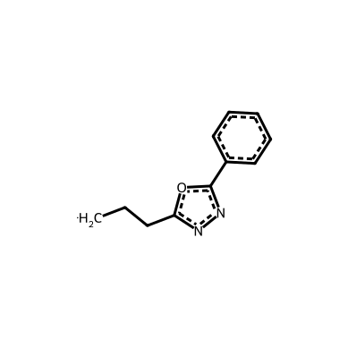 [CH2]CCc1nnc(-c2ccccc2)o1